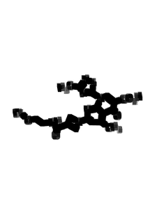 CCOCCNC(=O)C1CN(c2cc(C)c3c(=O)c(C(=O)O)cn(-c4nc(C)ns4)c3n2)C1